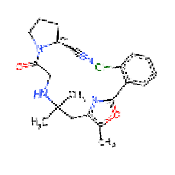 Cc1oc(-c2ccccc2Cl)nc1CC(C)(C)NCC(=O)N1CCC[C@H]1C#N